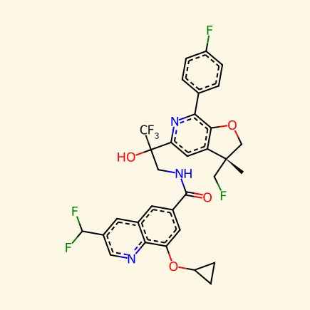 C[C@]1(CF)COc2c1cc(C(O)(CNC(=O)c1cc(OC3CC3)c3ncc(C(F)F)cc3c1)C(F)(F)F)nc2-c1ccc(F)cc1